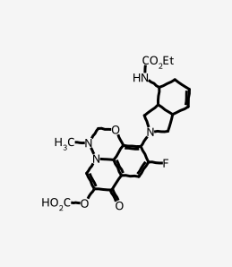 CCOC(=O)NC1CC=CC2CN(c3c(F)cc4c(=O)c(OC(=O)O)cn5c4c3OCN5C)CC21